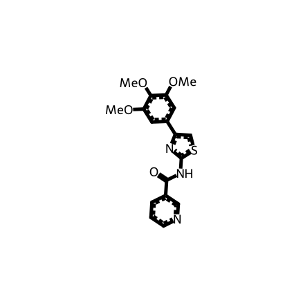 COc1cc(-c2csc(NC(=O)c3cccnc3)n2)cc(OC)c1OC